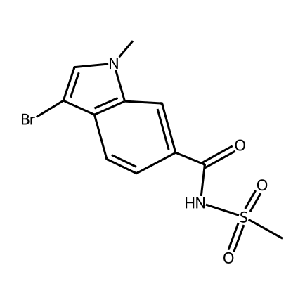 Cn1cc(Br)c2ccc(C(=O)NS(C)(=O)=O)cc21